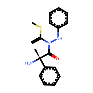 C=C(SC)N(Nc1ccccc1)C(=O)[C@@](C)(N)c1ccccc1